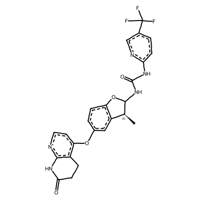 C[C@H]1c2cc(Oc3ccnc4c3CCC(=O)N4)ccc2OC1NC(=O)Nc1ccc(C(F)(F)F)cn1